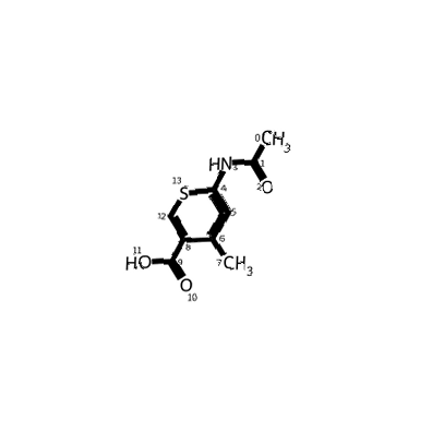 CC(=O)NC1=C=C(C)C(C(=O)O)=CS1